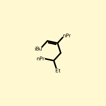 CCCC(=CC(C)CC)CC(CC)CCC